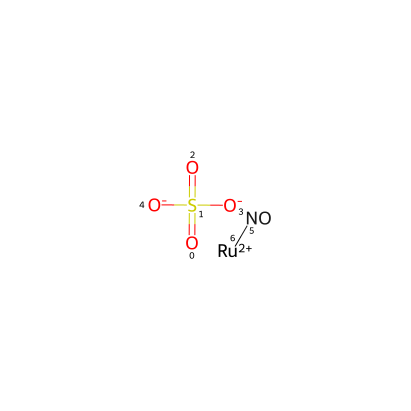 O=S(=O)([O-])[O-].O=[N][Ru+2]